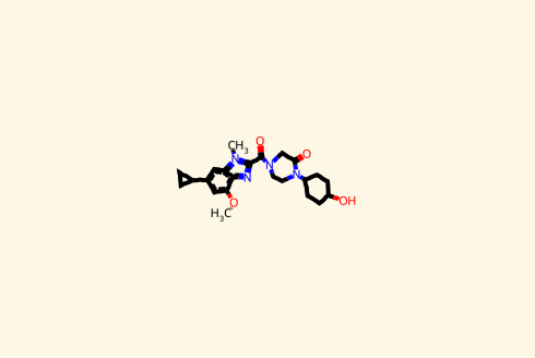 COc1cc(C2CC2)cc2c1nc(C(=O)N1CCN(C3CCC(O)CC3)C(=O)C1)n2C